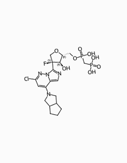 O=P(O)(O)CP(=O)(O)OC[C@H]1OC[C@@](F)(c2ncc3c(N4CC5CCCC5C4)cc(Cl)nn23)[C@@H]1O